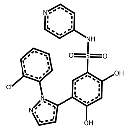 O=S(=O)(Nc1ccncc1)c1cc(-c2ccnn2-c2ccccc2Cl)c(O)cc1O